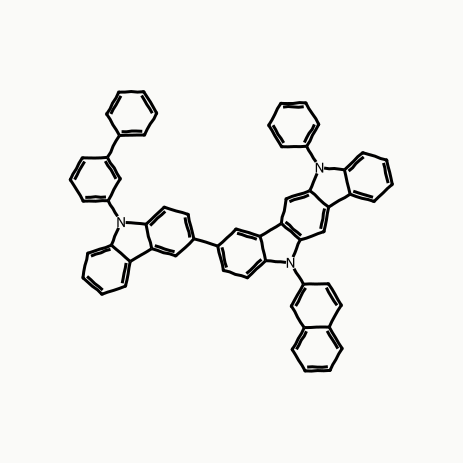 c1ccc(-c2cccc(-n3c4ccccc4c4cc(-c5ccc6c(c5)c5cc7c(cc5n6-c5ccc6ccccc6c5)c5ccccc5n7-c5ccccc5)ccc43)c2)cc1